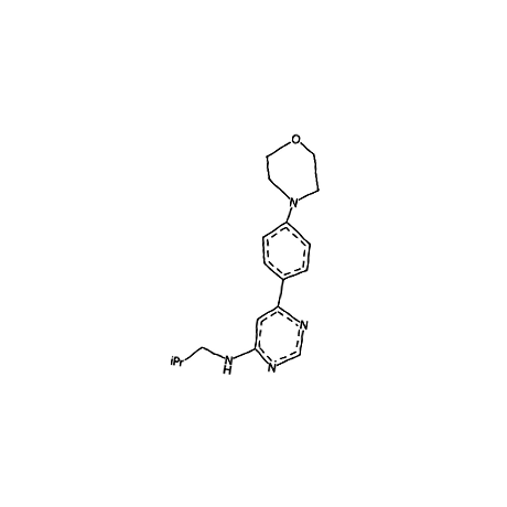 CC(C)CNc1cc(-c2ccc(N3CCOCC3)cc2)ncn1